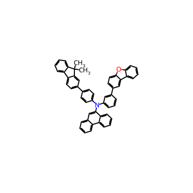 CC1(C)c2ccccc2-c2ccc(-c3ccc(N(c4cccc(-c5ccc6oc7ccccc7c6c5)c4)c4cc5ccccc5c5ccccc45)cc3)cc21